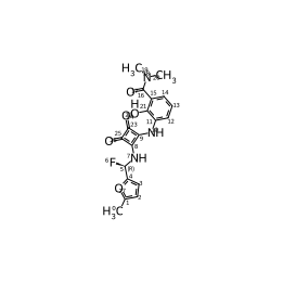 Cc1ccc([C@@H](F)Nc2c(Nc3cccc(C(=O)N(C)C)c3O)c(=O)c2=O)o1